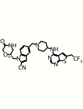 N#Cc1cc2cc(CN3CCC(Nc4ncnc5sc(CC(F)(F)F)cc45)CC3)ccc2n1C[C@@H]1CNC(=O)CO1